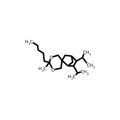 CCCCCC1(C)OCC2(CO1)CC1CC2C(C(C)C)C1C(C)C